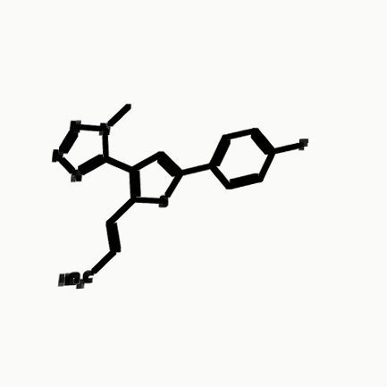 Cn1nnnc1-c1cc(-c2ccc(F)cc2)sc1C=CC(=O)O